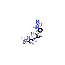 Cc1c(NC(=O)CN(C)C)cccc1-n1c(C)cc(-c2nc3ncc(Br)c(N)c3[nH]2)c1C